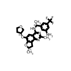 Cc1nc(N[C@H](C)c2cc(N)cc(C(F)(F)F)c2)c2cc(O[C@H]3CCOC3)c3c(c2n1)C[C@H](C)O3